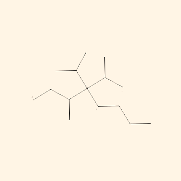 [CH2]C(C)C(CCCC)(C(C)C)C(C)CC